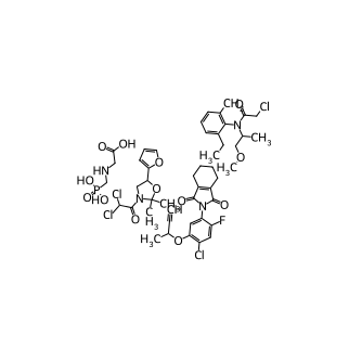 C#CC(C)Oc1cc(N2C(=O)C3=C(CCCC3)C2=O)c(F)cc1Cl.CC1(C)OC(c2ccco2)CN1C(=O)C(Cl)Cl.CCc1cccc(C)c1N(C(=O)CCl)C(C)COC.O=C(O)CNCP(=O)(O)O